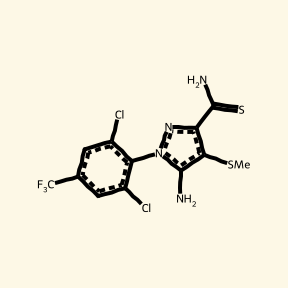 CSc1c(C(N)=S)nn(-c2c(Cl)cc(C(F)(F)F)cc2Cl)c1N